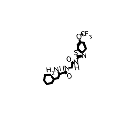 NC(CC1CCCCC1)C(=O)NCC(=O)Nc1nc2ccc(OC(F)(F)F)cc2s1